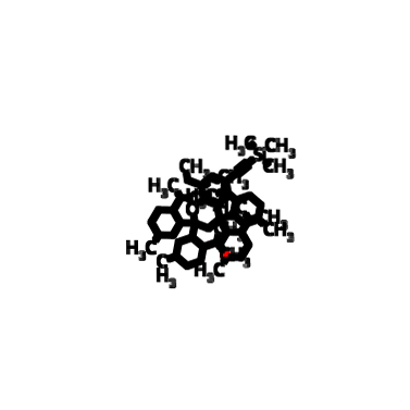 CCc1cc(C#C[Si](C)(C)C)cc2c1OC(C1CC(C)CCC1C(C)C)(C1CC(C)CCC1C(C)C)CC2(C1CC(C)CCC1C(C)C)C1CC(C)CCC1C(C)C